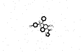 CC1CC(N(c2ccccc2)S(=O)(=O)c2ccc(Cl)cc2)c2ccccc2N1C(=O)c1ccco1